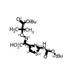 CC(C)COC(=O)C(C)(C)O/N=C(\C(=O)O)c1csc(NC(=O)OC(C)(C)C)n1